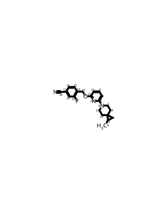 CC1CC12CCN(c1cccc(OCc3ccc(C#N)cc3F)n1)CC2